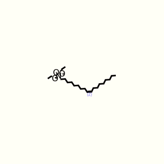 CCCCCCCC/C=C\CCCCCCCC[N+]([O-])(OCC)OCC